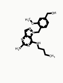 CCCCNc1nc(N)nc2cnn(Cc3ccc(CO)cc3OC)c12